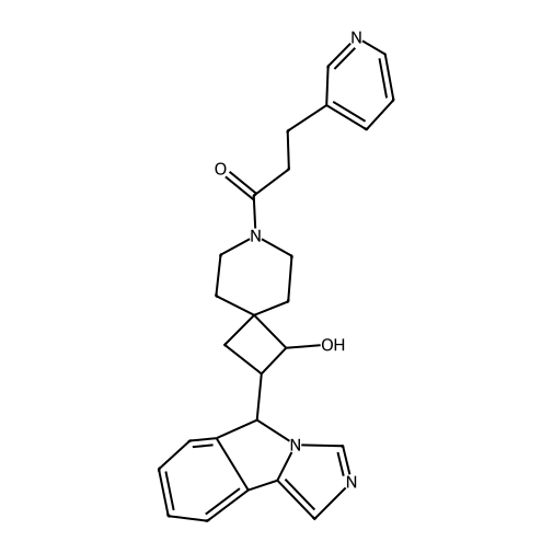 O=C(CCc1cccnc1)N1CCC2(CC1)CC(C1c3ccccc3-c3cncn31)C2O